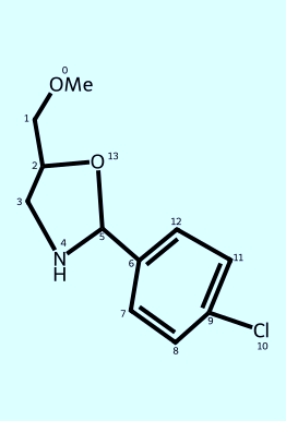 COCC1CNC(c2ccc(Cl)cc2)O1